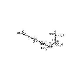 CC(C)(C)N[C@@H](CCC(=O)N[C@@H](CCC(=O)N[C@@H](CCC(=O)NOCCOCC(=O)NCCOCCOCC(=O)C(C)(C)C)C(=O)O)C(=O)O)C(=O)O